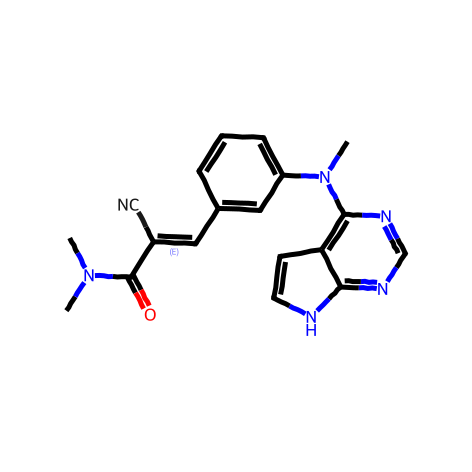 CN(C)C(=O)/C(C#N)=C/c1cccc(N(C)c2ncnc3[nH]ccc23)c1